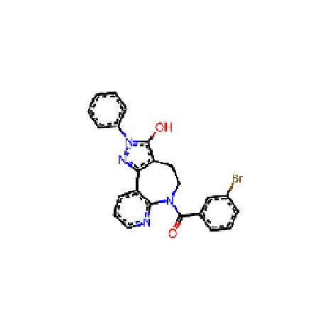 O=C(c1cccc(Br)c1)N1CCc2c(nn(-c3ccccc3)c2O)-c2cccnc21